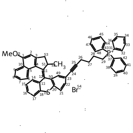 COc1cc2c(c3ccccc13)C(=C1c3ccccc3Sc3ccc(C#CCCCC[P+](c4ccccc4)(c4ccccc4)c4ccccc4)cc31)C(C)C2.[Br-]